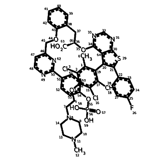 Cc1c(Cl)c(OCCN2CCN(C)CC2)c(Cl)c(C)c1-c1c(-c2ccc(F)cc2)sc2ncnc(O[C@H](Cc3ccccc3OCc3ccnc(-c4ccc(OP(=O)(O)O)cc4)n3)C(=O)O)c12